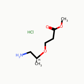 COC(=O)CCO[C@H](C)CN.Cl